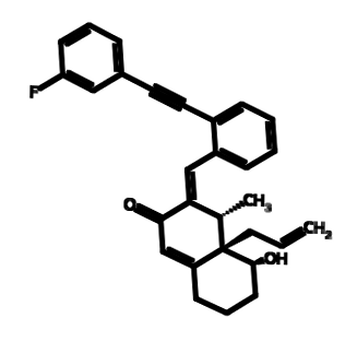 C=CC[C@@]12C(=CC(=O)/C(=C/c3ccccc3C#Cc3cccc(F)c3)[C@@H]1C)CCC[C@@H]2O